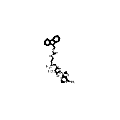 CN(CCNC(=O)OCC1c2ccccc2-c2ccccc21)C[C@H]1O[C@@H](n2cnc3c(N)ncnc32)C(O)[C@@H]1O